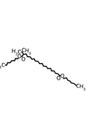 CCCCCCCCOC(=O)CCCCCCCCCCCCCCCCCC(C(=O)OCCCCCCCC)C(C)C